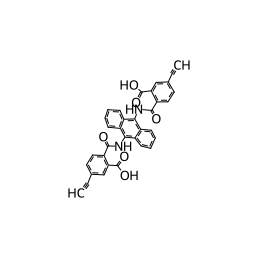 C#Cc1ccc(C(=O)Nc2c3ccccc3c(NC(=O)c3ccc(C#C)cc3C(=O)O)c3ccccc23)c(C(=O)O)c1